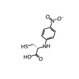 O=C(O)[C@H](CS)Nc1ccc([N+](=O)[O-])cc1